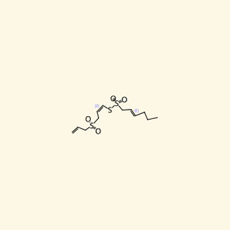 C=CCS(=O)(=O)C/C=C\SS(=O)(=O)C/C=C/CCC